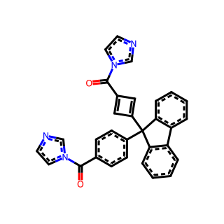 O=C(C1=CC(C2(c3ccc(C(=O)n4ccnc4)cc3)c3ccccc3-c3ccccc32)=C1)n1ccnc1